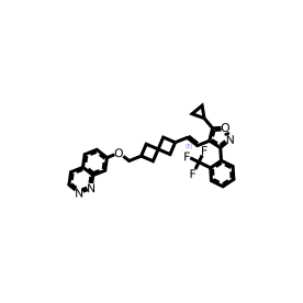 FC(F)(F)c1ccccc1-c1noc(C2CC2)c1/C=C/C1CC2(C1)CC(COc1ccc3ccnnc3c1)C2